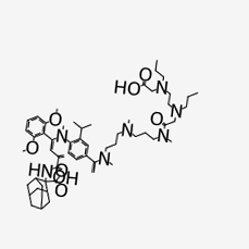 C=C(/C=C(/c1c(OC)cccc1OC)N(C)c1ccc(C(=C)N(C)CCCN(C)CCCN(C)C(=O)CN(CCC)CCN(CCC)CC(=O)O)cc1C(C)C)C(=O)NC1(C(=O)O)C2CC3CC(C2)CC1C3